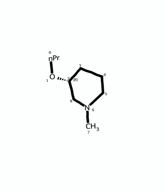 CCCO[C@@H]1CCCN(C)C1